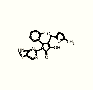 Cc1ccc(C(=O)C2=C(O)C(=O)N(c3ncc4nc[nH]c4n3)C2c2ccccc2F)o1